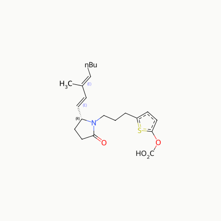 CCCC/C=C(C)/C=C/[C@H]1CCC(=O)N1CCCc1ccc(OC(=O)O)s1